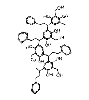 Cc1cc(C(CCc2ccccc2)c2cc(C(CCc3ccccc3)c3cc(C(CCc4ccccc4)c4cc(C(C)CCc5ccccc5)c(O)c(CO)c4O)c(O)c(CO)c3O)c(O)c(CO)c2O)c(O)c(CO)c1O